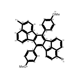 COc1ccc(-c2c3c4ccc(Br)c5cccc(c3c(-c3ccc(OC)cc3)c3c6ccc(I)c7cccc(c23)c76)c54)cc1